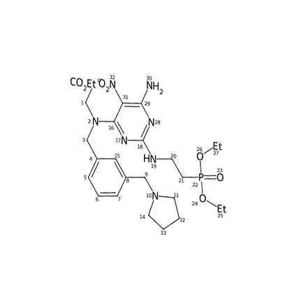 CCOC(=O)CN(Cc1cccc(CN2CCCC2)c1)c1nc(NCCP(=O)(OCC)OCC)nc(N)c1[N+](=O)[O-]